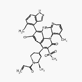 C=CC(=O)N1CCC(c2c(S(C)(=O)=O)c(=O)n(-c3c(C)ccnc3C(C)C)c3c(F)c(-c4c(C)ccc5[nH]ncc45)c(Cl)cc23)C[C@H]1C